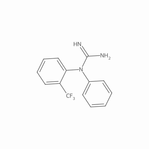 N=C(N)N(c1ccccc1)c1ccccc1C(F)(F)F